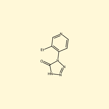 CCc1cnccc1-n1nn[nH]c1=O